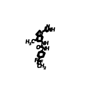 C=CC(F)(F)c1ccc(NC(=O)Nc2cc(C)c3ccn(-c4cn[nH]c4)c3c2)cc1